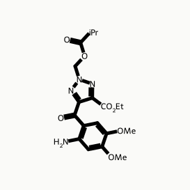 CCOC(=O)c1nn(COC(=O)C(C)C)nc1C(=O)c1cc(OC)c(OC)cc1N